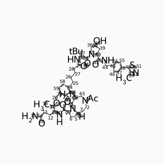 CC(=O)N1CC[C@H]2CC[C@@H](C(=O)N[C@@H](CCC(N)=O)[C@@H](C)OCc3ccc(CCCCC(=O)N[C@H](C(=O)N4C[C@H](O)C[C@H]4C(=O)NCc4ccc(-c5scnc5C)cc4)C(C)(C)C)cc3)N2C(=O)[C@@H](N)C1